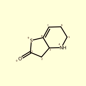 O=C1CC2NCCC=C2S1